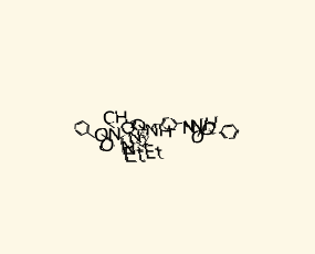 C=CCN(C(=O)OCc1ccccc1)c1cnc2n(c1=O)[C@H](C(=O)NCc1ccc(C=NNC(=O)OCc3ccccc3)cc1)CC2(CC)CC